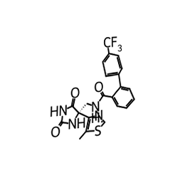 Cc1scnc1[C@@]1(CNC(=O)c2ccccc2-c2ccc(C(F)(F)F)cc2)NC(=O)NC1=O